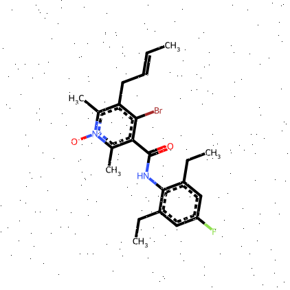 C/C=C/Cc1c(Br)c(C(=O)Nc2c(CC)cc(F)cc2CC)c(C)[n+]([O-])c1C